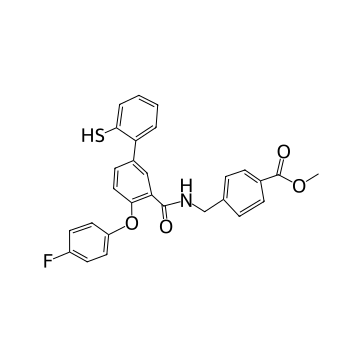 COC(=O)c1ccc(CNC(=O)c2cc(-c3ccccc3S)ccc2Oc2ccc(F)cc2)cc1